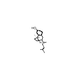 CC(C)=CCN(C)C1Cc2ccc(O)cc2[C@]2(C)CC[C@@H]12